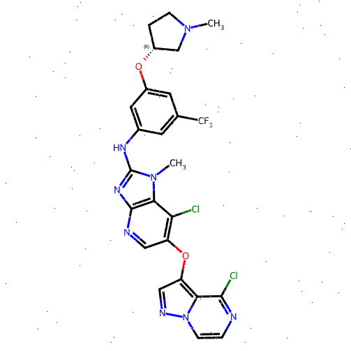 CN1CC[C@@H](Oc2cc(Nc3nc4ncc(Oc5cnn6ccnc(Cl)c56)c(Cl)c4n3C)cc(C(F)(F)F)c2)C1